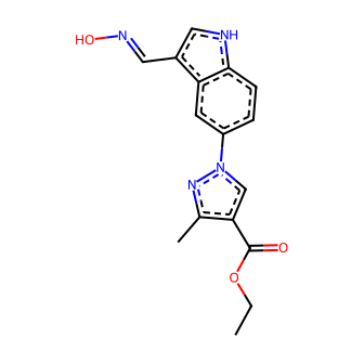 CCOC(=O)c1cn(-c2ccc3[nH]cc(/C=N/O)c3c2)nc1C